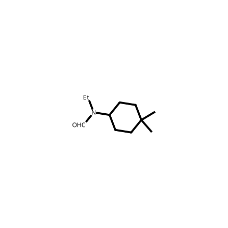 CCN(C=O)C1CCC(C)(C)CC1